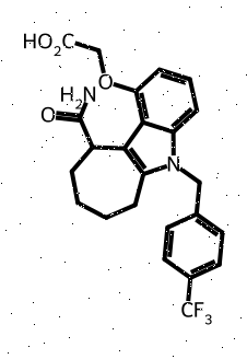 NC(=O)C1CCCCc2c1c1c(OCC(=O)O)cccc1n2Cc1ccc(C(F)(F)F)cc1